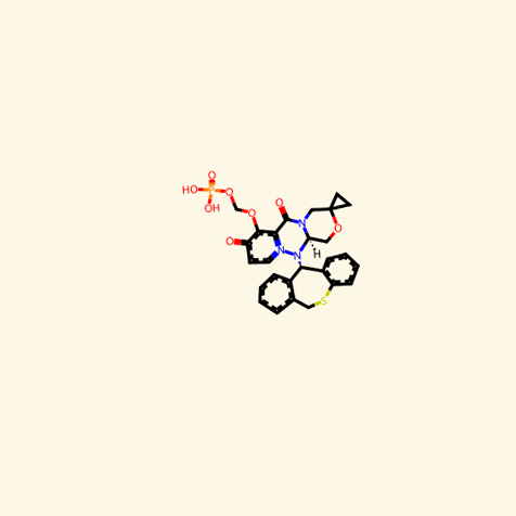 O=C1c2c(OCOP(=O)(O)O)c(=O)ccn2N([C@H]2c3ccccc3CSc3ccccc32)[C@@H]2COC3(CC3)CN12